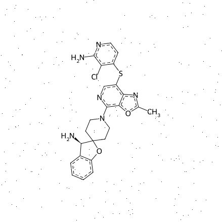 Cc1nc2c(Sc3ccnc(N)c3Cl)cnc(N3CCC4(CC3)Oc3ccccc3[C@H]4N)c2o1